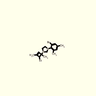 CCC1C(C)=CC1(C)N1CCN(c2c(C)cc(C)cc2Br)C1